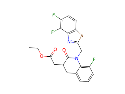 CCOC(=O)CC1Cc2cccc(F)c2N(Cc2nc3c(F)c(F)ccc3s2)C1=O